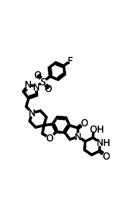 O=C1CCC(N2Cc3c(ccc4c3OCC43CCN(Cc4cnn(S(=O)(=O)c5ccc(F)cc5)c4)CC3)C2=O)C(O)N1